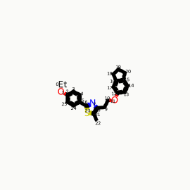 CCOc1ccc(-c2nc(CCOc3ccc4c(c3)CCC4)c(C)s2)cc1